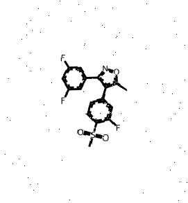 Cc1onc(-c2cc(F)cc(F)c2)c1-c1ccc(S(C)(=O)=O)c(F)c1